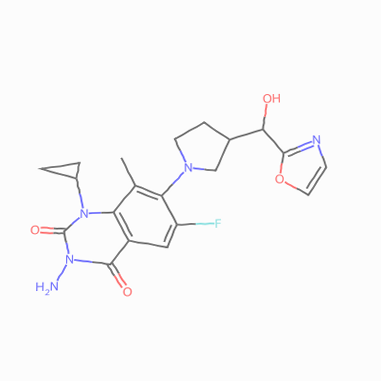 Cc1c(N2CCC(C(O)c3ncco3)C2)c(F)cc2c(=O)n(N)c(=O)n(C3CC3)c12